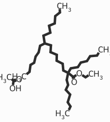 CC(=O)O.CCCCCCCC(CCCCCCC)CCCCCCC(CCCCCCC)(CCCCCCC)C(=O)OCC